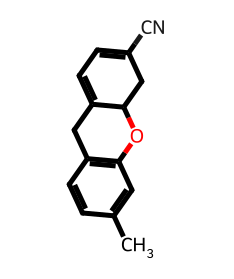 Cc1ccc2c(c1)OC1CC(C#N)=CC=C1C2